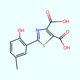 Cc1ccc(O)c(-c2nc(C(=O)O)c(C(=O)O)s2)c1